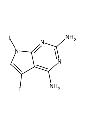 Nc1nc(N)c2c(F)cn(I)c2n1